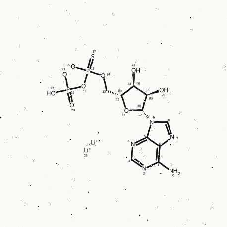 Nc1ncnc2c1ncn2[C@@H]1O[C@H](COP([O-])(=S)OP(=O)([O-])O)[C@@H](O)[C@H]1O.[Li+].[Li+]